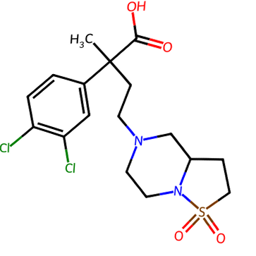 CC(CCN1CCN2C(CCS2(=O)=O)C1)(C(=O)O)c1ccc(Cl)c(Cl)c1